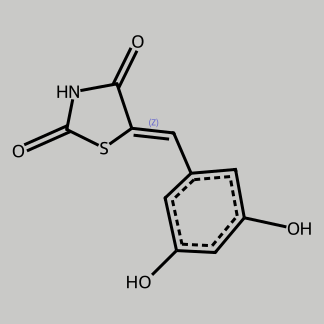 O=C1NC(=O)/C(=C/c2cc(O)cc(O)c2)S1